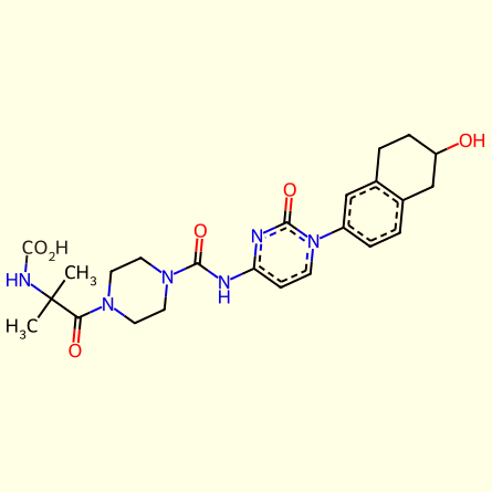 CC(C)(NC(=O)O)C(=O)N1CCN(C(=O)Nc2ccn(-c3ccc4c(c3)CCC(O)C4)c(=O)n2)CC1